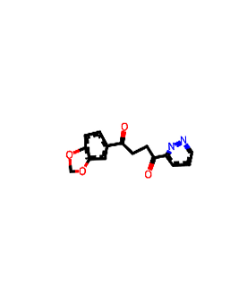 O=C(CCC(=O)c1cccnn1)c1ccc2c(c1)OCO2